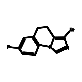 C[CH]c1ncn2c1CCc1cc(F)ccc1-2